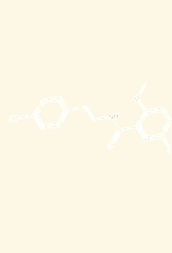 COc1ccc(Cl)cc1C(=O)NCCc1ccc(S)cc1